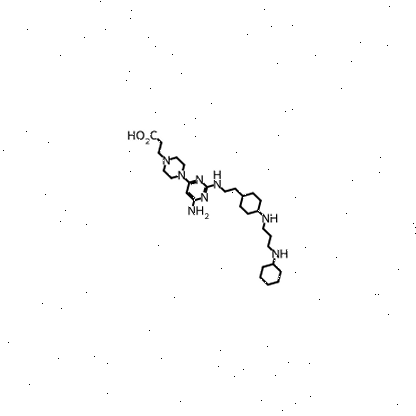 Nc1cc(N2CCN(CCC(=O)O)CC2)nc(NCCC2CCC(NCCCNC3CCCCC3)CC2)n1